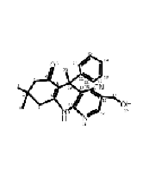 CC1(C)CC(=O)C2=C(C1)Nc1ncc(CO)c(C#N)c1C2(C)c1ccccc1